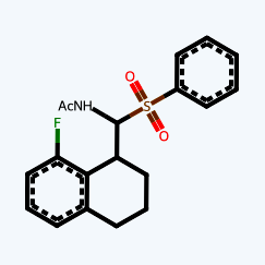 CC(=O)NC(C1CCCc2cccc(F)c21)S(=O)(=O)c1ccccc1